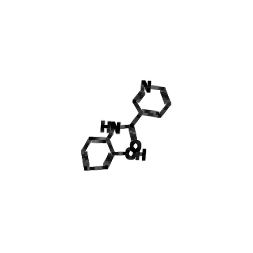 O=C(Nc1ccccc1O)c1cccnc1